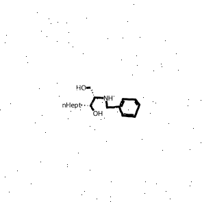 CCCCCCC[C@@H](O)[C@H](CO)NCc1ccccc1